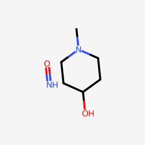 CN1CCC(O)CC1.N=O